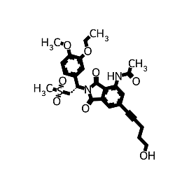 CCOc1cc([C@@H](CS(C)(=O)=O)N2C(=O)c3cc(C#CCCCO)cc(NC(C)=O)c3C2=O)ccc1OC